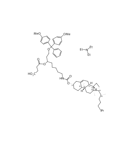 CCN(CC)CC.COc1ccc(C(OCCC(CCCCCNC(=O)O[C@H]2CC[C@@]3(C)C(=CC[C@H]4[C@@H]5CC[C@H]([C@H](C)CCCC(C)C)[C@@]5(C)CC[C@@H]43)C2)OC(=O)CCC(=O)O)(c2ccccc2)c2ccc(OC)cc2)cc1